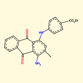 CCOC(=O)c1ccc(Nc2cc(C)c(N)c3c2C(=O)c2ccccc2C3=O)cc1